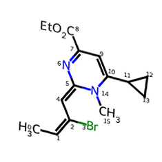 C/C=C(Br)\C=C1\N=C(C(=O)OCC)C=C(C2CC2)N1C